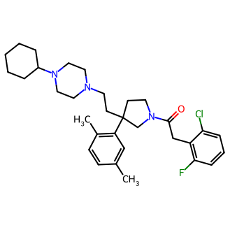 Cc1ccc(C)c(C2(CCN3CCN(C4CCCCC4)CC3)CCN(C(=O)Cc3c(F)cccc3Cl)C2)c1